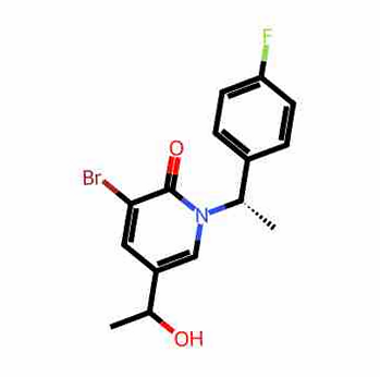 CC(O)c1cc(Br)c(=O)n([C@@H](C)c2ccc(F)cc2)c1